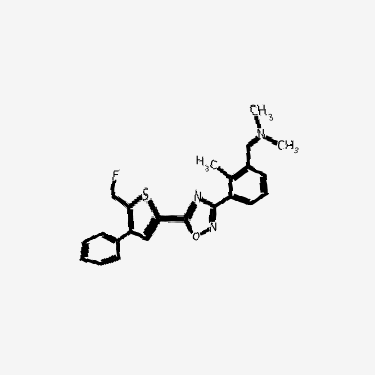 Cc1c(CN(C)C)cccc1-c1noc(-c2cc(-c3ccccc3)c(CF)s2)n1